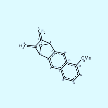 C=C1C(=C)C2OC1c1cc3cccc(OC)c3cc12